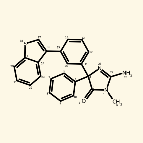 CN1C(=O)C(c2ccccc2)(c2cccc(-c3csc4ccccc34)c2)N=C1N